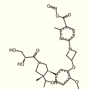 COc1ccc([C@@H]2CN(C(=O)[C@@H](O)CO)C[C@@]2(C)C(C)O)cc1OC1CN(c2ccc(C(=O)ON=O)c(C)n2)C1